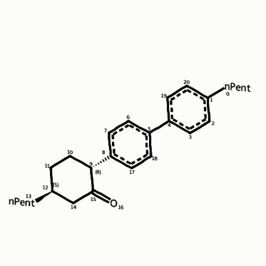 CCCCCc1ccc(-c2ccc([C@H]3CC[C@H](CCCCC)CC3=O)cc2)cc1